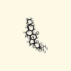 CC[C@]12CC(=O)C3C4CCC5(C=C4CCC3C1CCC21OCC(C)(C)CO1)SCCS5